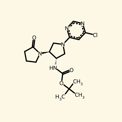 CC(C)(C)OC(=O)N[C@H]1CN(c2cc(Cl)ncn2)C[C@@H]1N1CCCC1=O